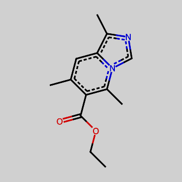 CCOC(=O)c1c(C)cc2c(C)ncn2c1C